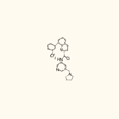 O=C(Nc1cncc(CN2CCCC2)c1)c1ccc2cccc(-c3cccc(C(F)(F)F)c3)c2n1